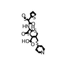 O=S=C(C(=O)NC1C(=O)N2C(C(=O)O)=C(CSc3ccncc3)CS[C@H]12)c1cccs1